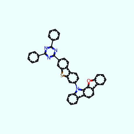 c1ccc(-c2nc(-c3ccccc3)nc(-c3ccc4c(c3)sc3cc(-n5c6ccccc6c6ccc7c8ccccc8oc7c65)ccc34)n2)cc1